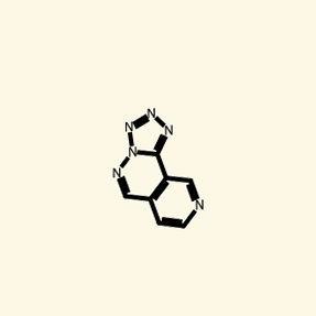 c1cc2cnn3nnnc3c2cn1